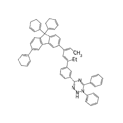 C/C=C(\C=C(/CC)c1cccc(C2=NNN(c3ccccc3)C(c3ccccc3)=N2)c1)c1ccc2c(c1)-c1cc(C3=CCCC=C3)ccc1C2(C1=CCCC=C1)C1=CC=CCC1